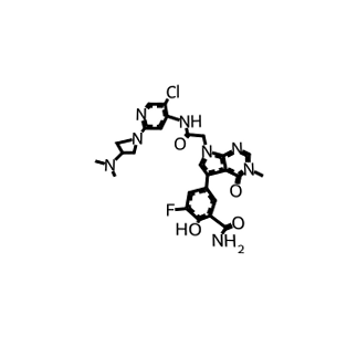 CN(C)C1CN(c2cc(NC(=O)Cn3cc(-c4cc(F)c(O)c(C(N)=O)c4)c4c(=O)n(C)cnc43)c(Cl)cn2)C1